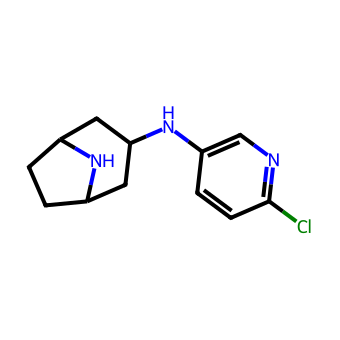 Clc1ccc(NC2CC3CCC(C2)N3)cn1